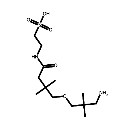 CC(C)(CN)COCC(C)(C)CC(=O)NCCS(=O)(=O)O